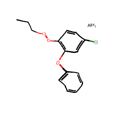 CCCOOc1ccc(Cl)cc1Oc1ccccc1.[AlH3]